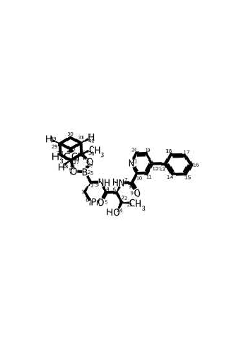 CC(C)C[C@H](NC(=O)[C@@H](NC(=O)c1cc(-c2ccccc2)ccn1)[C@@H](C)O)B1O[C@@H]2C[C@@H]3C[C@@H](C3(C)C)[C@]2(C)O1